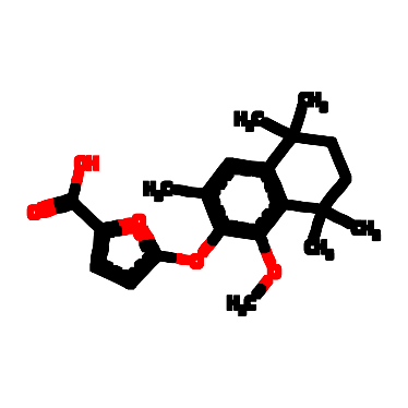 COc1c(Oc2ccc(C(=O)O)o2)c(C)cc2c1C(C)(C)CCC2(C)C